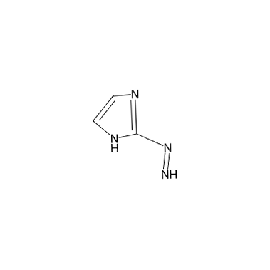 N=Nc1ncc[nH]1